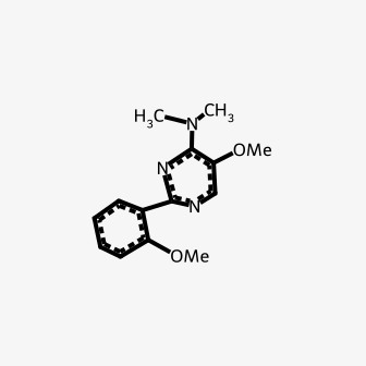 COc1ccccc1-c1ncc(OC)c(N(C)C)n1